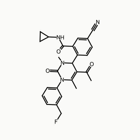 CC(=O)C1=C(C)N(c2cccc(CF)c2)C(=O)N(C)C1c1ccc(C#N)cc1C(=O)NC1CC1